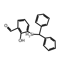 O=Cc1cccc([SiH2]C(c2ccccc2)c2ccccc2)c1O